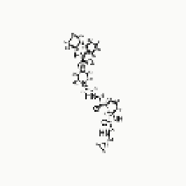 O=C(CNCC1CC1)Nc1cccc(C(=O)CNCCN2CCC(OC(=O)Nc3ccccc3-c3ccccc3)CC2)c1